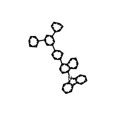 c1ccc(-c2cc(-c3ccccc3)cc(-c3ccc(-c4ccc(-n5c6ccccc6c6ccccc65)c5ccccc45)cc3)c2)cc1